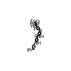 CCC(CC)NC(=O)Nc1ccc(Oc2ccc(NC(=O)c3ccc(NCC4CCN(CC(C)C)CC4)cc3)cc2)cc1F